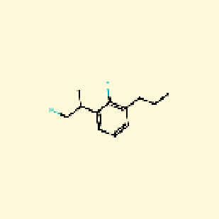 CCCc1cccc([C](C)CF)c1F